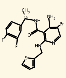 C[C@H](NC(=O)c1c(NCc2cccs2)ncc(Br)c1N)c1ccc(F)c(F)c1